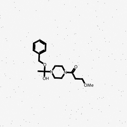 COCCC(=O)N1CCN(C(C)(O)OCc2ccccc2)CC1